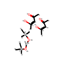 CC(=O)/C=C(/C)[O-].CC(=O)/C=C(/C)[O-].C[Si](C)(C)[O][Ti+2][O][Si](C)(C)C